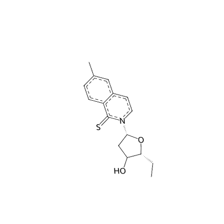 CC[C@H]1O[C@@H](n2ccc3cc(C)ccc3c2=S)CC1O